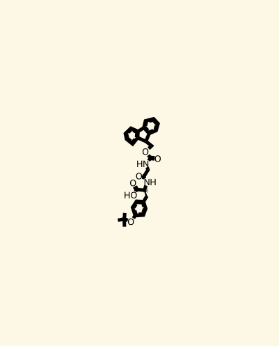 CC(C)(C)Oc1ccc(C[C@H](NC(=O)CNC(=O)OCC2c3ccccc3-c3ccccc32)C(=O)O)cc1